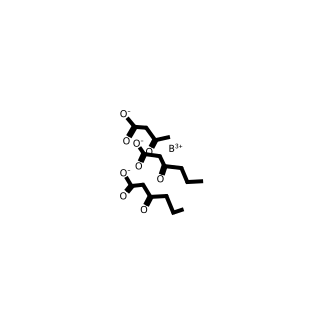 CC(=O)CC(=O)[O-].CCCC(=O)CC(=O)[O-].CCCC(=O)CC(=O)[O-].[B+3]